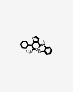 NC(=O)[C](c1sccc1C(=O)Nc1ccccc1Cl)C1CCCCC1